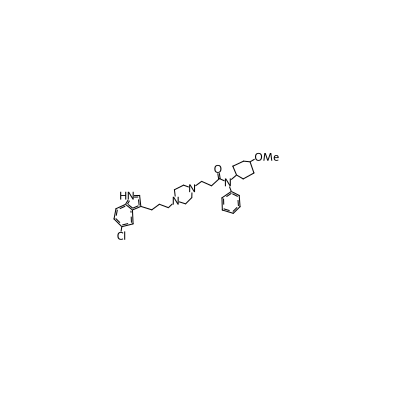 COC1CCC(N(C(=O)CCN2CCN(CCCc3c[nH]c4ccc(Cl)cc34)CC2)c2ccccc2)CC1